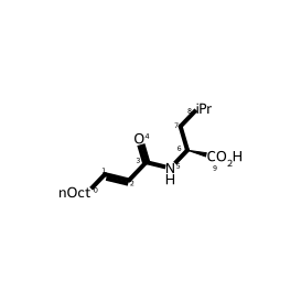 CCCCCCCCC=CC(=O)N[C@@H](CC(C)C)C(=O)O